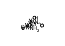 Nc1nc2c(cnn2C(C(=O)NCCc2ccccc2)c2ccccc2)c2nc(-c3ccco3)nn12